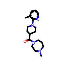 Cc1cccnc1N1CCC(C(=O)N2CCCN(C)CC2)CC1